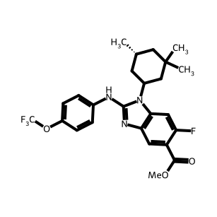 COC(=O)c1cc2nc(Nc3ccc(OC(F)(F)F)cc3)n(C3C[C@H](C)CC(C)(C)C3)c2cc1F